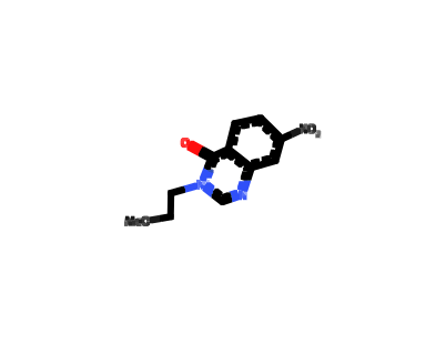 COCCn1cnc2cc([N+](=O)[O-])ccc2c1=O